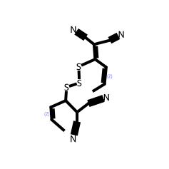 C/C=C\C(SSSC(/C=C\C)C(C#N)C#N)=C(C#N)C#N